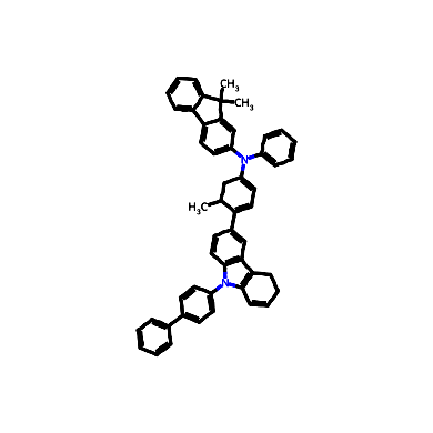 CC1CC(N(c2ccccc2)c2ccc3c(c2)C(C)(C)c2ccccc2-3)=CC=C1c1ccc2c(c1)c1c(n2-c2ccc(-c3ccccc3)cc2)C=CCC1